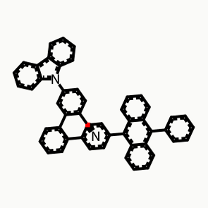 N#Cc1ccc(-n2c3ccccc3c3ccccc32)cc1-c1ccccc1-c1ccc(-c2c3ccccc3c(-c3ccccc3)c3ccccc23)cc1